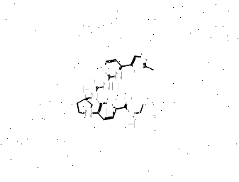 Cc1ncc(-c2ccnc(NC(=O)N3C4=C(C=CC(C(=O)N[C@H](C)C(F)(F)F)N4)N4CC[C@H]3C4)n2)o1